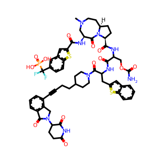 CN1CC[C@H]2CC[C@@H](C(=O)NC(COC(N)=O)C(=O)NC(Cc3cc4ccccc4s3)C(=O)N3CCC(CCC#Cc4cccc5c4CN(C4CCC(=O)NC4=O)C5=O)CC3)N2C(=O)[C@@H](NC(=O)c2cc3cc(C(F)(F)P(=O)(O)O)ccc3s2)C1